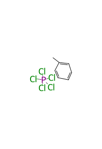 Cc1ccccc1.ClP(Cl)(Cl)(Cl)Cl